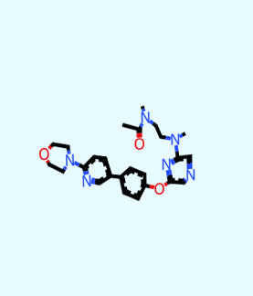 CC(=O)N(C)CCN(C)c1cncc(Oc2ccc(-c3ccc(N4CCOCC4)nc3)cc2)n1